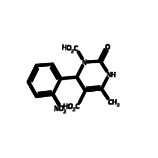 CC1=C(C(=O)O)C(c2ccccc2[N+](=O)[O-])N(C(=O)O)C(=O)N1